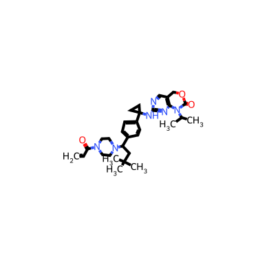 C=CC(=O)N1CCN(C(CC(C)(C)C)c2ccc(C3(Nc4ncc5c(n4)N(C(C)C)C(=O)OC5)CC3)cc2)CC1